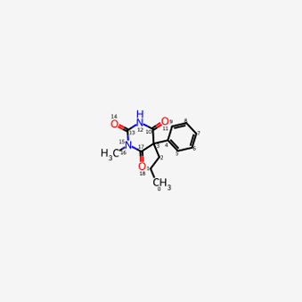 CCCC1(c2ccccc2)C(=O)NC(=O)N(C)C1=O